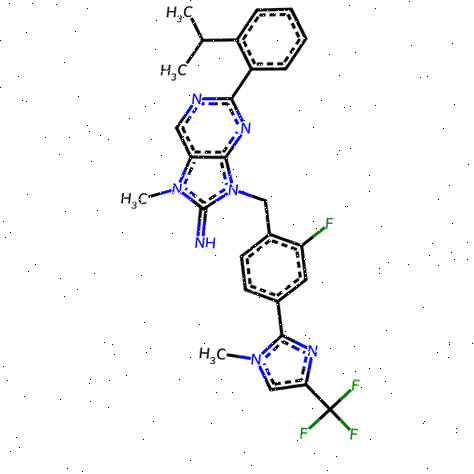 CC(C)c1ccccc1-c1ncc2c(n1)n(Cc1ccc(-c3nc(C(F)(F)F)cn3C)cc1F)c(=N)n2C